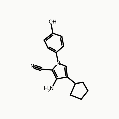 N#Cc1c(N)c(C2CCCC2)cn1-c1ccc(O)cc1